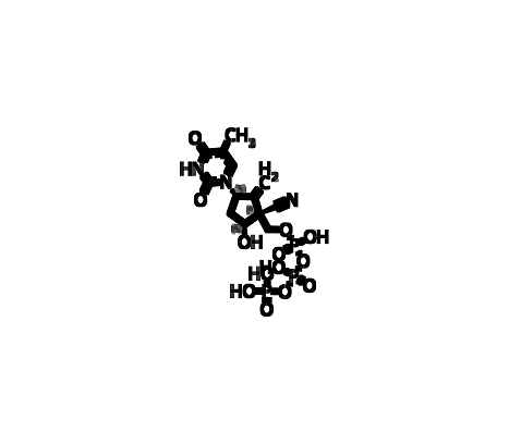 C=C1[C@@H](n2cc(C)c(=O)[nH]c2=O)C[C@H](O)[C@@]1(C#N)COP(=O)(O)OP(=O)(O)OP(=O)(O)O